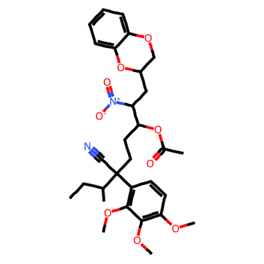 CCC(C)C(C#N)(CCC(OC(C)=O)C(CC1COc2ccccc2O1)[N+](=O)[O-])c1ccc(OC)c(OC)c1OC